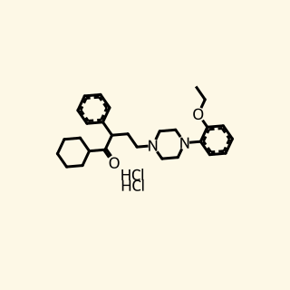 CCOc1ccccc1N1CCN(CCC(C(=O)C2CCCCC2)c2ccccc2)CC1.Cl.Cl